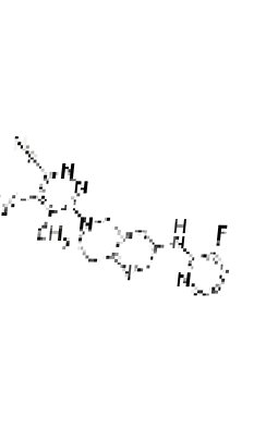 Cc1c(C#N)nnc(N2CCc3ncc(Nc4ncccc4F)cc3C2)c1C